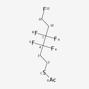 CC(=O)SCCC(F)(F)C(F)(F)CCF